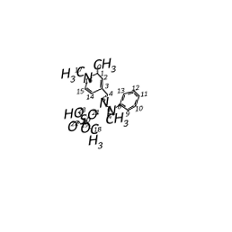 CC1C=C(C=NN(C)c2ccccc2)C=CN1C.COS(=O)(=O)O